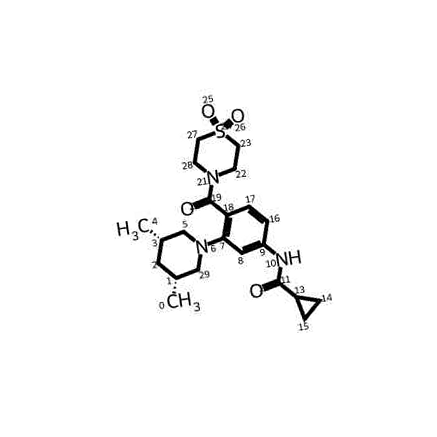 C[C@@H]1C[C@H](C)CN(c2cc(NC(=O)C3CC3)ccc2C(=O)N2CCS(=O)(=O)CC2)C1